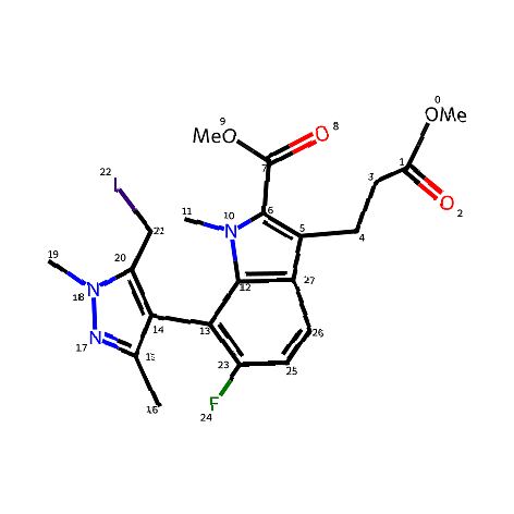 COC(=O)CCc1c(C(=O)OC)n(C)c2c(-c3c(C)nn(C)c3CI)c(F)ccc12